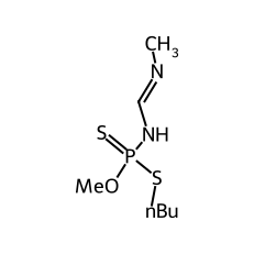 CCCCSP(=S)(N/C=N/C)OC